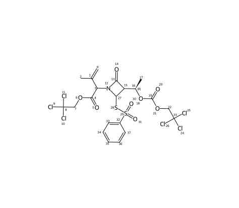 C=C(C)C(C(=O)OCC(Cl)(Cl)Cl)N1C(=O)C([C@@H](C)OC(=O)OCC(Cl)(Cl)Cl)C1SS(=O)(=O)c1ccccc1